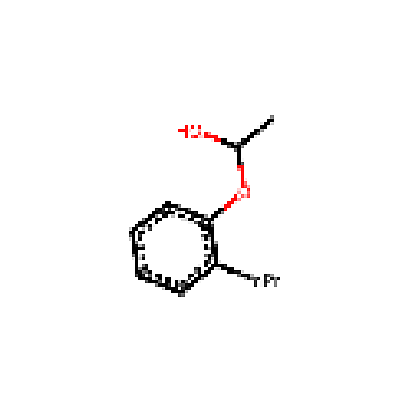 CCCc1ccccc1OC(C)O